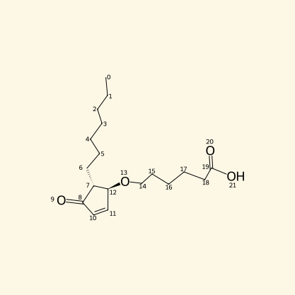 CCCCCCC[C@H]1C(=O)C=C[C@@H]1OCCCCCC(=O)O